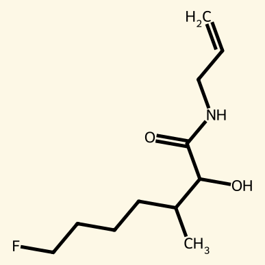 C=CCNC(=O)C(O)C(C)CCCCF